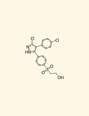 O=S(=O)(CCO)c1ccc(-c2[nH]nc(Cl)c2-c2ccc(Cl)cc2)cc1